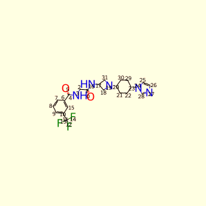 O=C(CNC(=O)c1cccc(C(F)(F)F)c1)NC1CN([C@H]2CC[C@@H](n3ccnc3)CC2)C1